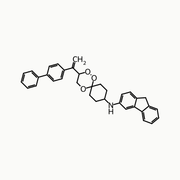 C=C(c1ccc(-c2ccccc2)cc1)C1COC2(CCC(Nc3ccc4c(c3)-c3ccccc3C4)CC2)OO1